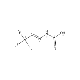 O=C(O)NN=CC(F)(F)F